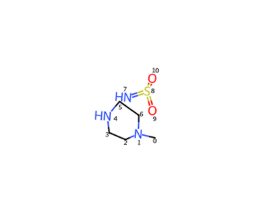 CN1CCNCC1.N=S(=O)=O